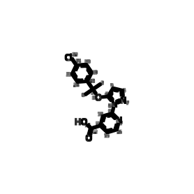 CC(C)(Oc1ccnn1-c1cc(C(=O)O)ccn1)c1ccc(Cl)cc1